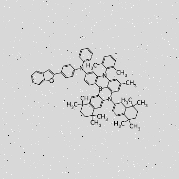 Cc1cc2c3c(c1)N(c1c(C)cccc1C)c1cc(N(c4ccccc4)c4ccc(-c5cc6ccccc6o5)cc4)ccc1B3c1cc3c(cc1N2C1=CC=C2C(C1)C(C)(C)CCC2(C)C)C(C)(C)CCC3(C)C